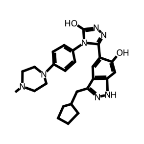 CN1CCN(c2ccc(-n3c(O)nnc3-c3cc4c(CC5CCCC5)n[nH]c4cc3O)cc2)CC1